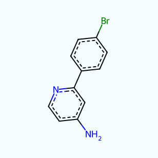 Nc1ccnc(-c2ccc(Br)cc2)c1